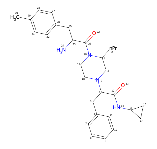 CCCC1CN(C(Cc2ccccc2)C(=O)NC2CC2)CCN1C(=O)C(N)Cc1ccc(C)cc1